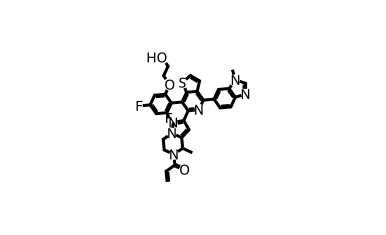 C=CC(=O)N1CCn2nc(-c3nc(-c4ccc5ncn(C)c5c4)c4ccsc4c3-c3c(F)cc(F)cc3OCCO)cc2C1C